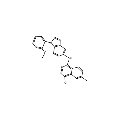 COc1ccccc1-n1cnc2cc(Nc3nnc(Cl)c4cc(C)ccc34)ccc21